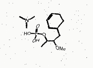 CN(C)C.COC(CC1CC=CCC1)C(C)OP(=O)(O)O